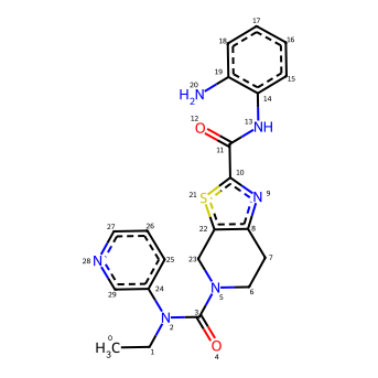 CCN(C(=O)N1CCc2nc(C(=O)Nc3ccccc3N)sc2C1)c1cccnc1